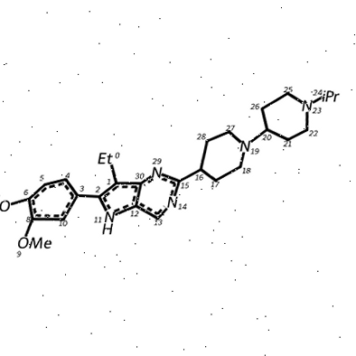 CCc1c(-c2ccc(OC)c(OC)c2)[nH]c2cnc(C3CCN(C4CCN(C(C)C)CC4)CC3)nc12